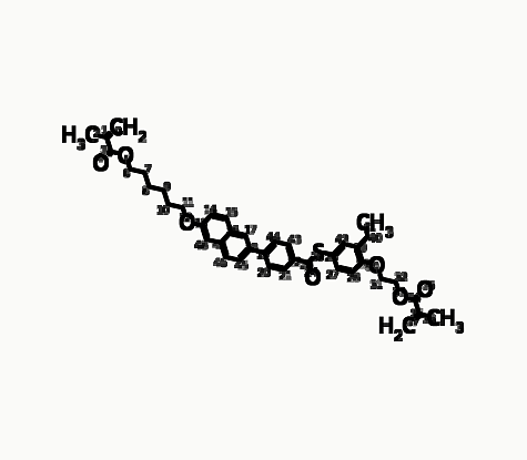 C=C(C)C(=O)OCCCCCCOc1ccc2cc(-c3ccc(C(=O)Sc4ccc(OCCOC(=O)C(=C)C)c(CC)c4)cc3)ccc2c1